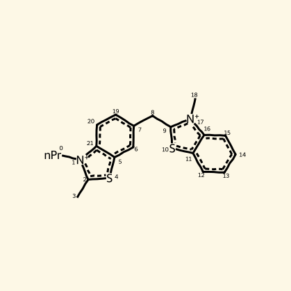 CCC[n+]1c(C)sc2cc(Cc3sc4ccccc4[n+]3C)ccc21